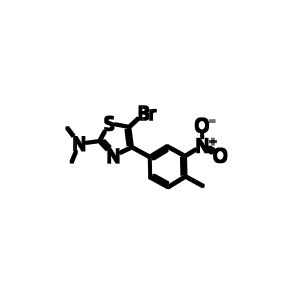 Cc1ccc(-c2nc(N(C)C)sc2Br)cc1[N+](=O)[O-]